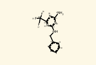 Nc1nc(NCc2ccccc2)nc(C(F)(F)F)n1